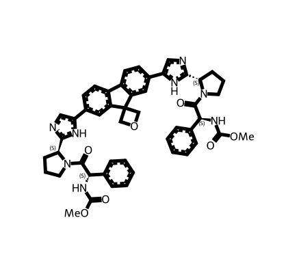 COC(=O)N[C@H](C(=O)N1CCC[C@H]1c1ncc(-c2ccc3c(c2)C2(COC2)c2cc(-c4cnc([C@@H]5CCCN5C(=O)[C@@H](NC(=O)OC)c5ccccc5)[nH]4)ccc2-3)[nH]1)c1ccccc1